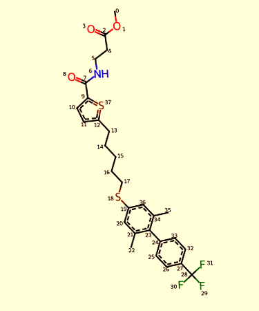 COC(=O)CCNC(=O)c1ccc(CCCCCSc2cc(C)c(-c3ccc(C(F)(F)F)cc3)c(C)c2)s1